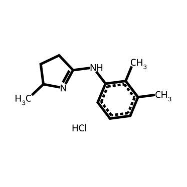 Cc1cccc(NC2=NC(C)CC2)c1C.Cl